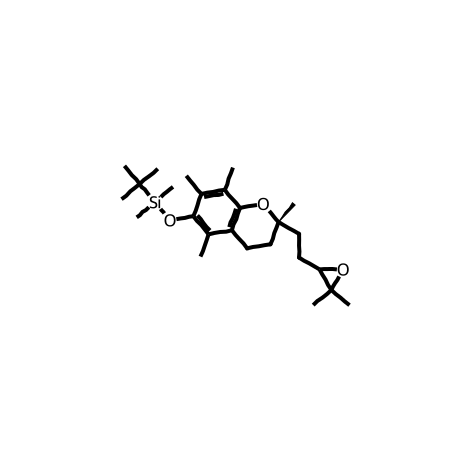 Cc1c(C)c2c(c(C)c1O[Si](C)(C)C(C)(C)C)CC[C@@](C)(CCC1OC1(C)C)O2